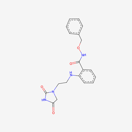 O=C1CN(CCNc2ccccc2C(=O)NOCc2ccccc2)C(=O)N1